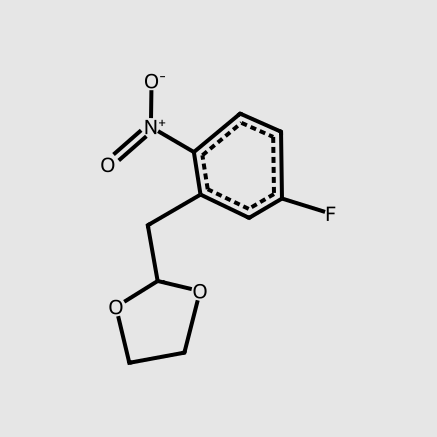 O=[N+]([O-])c1ccc(F)cc1C[C]1OCCO1